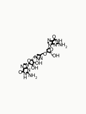 Nc1nc2c(ncn2[C@@H]2O[C@H](Cn3cc(CO[C@H]4C[C@H](n5cnc6c(=O)[nH]c(N)nc65)O[C@@H]4CO)nn3)[C@@H](O)[C@H]2O)c(=O)[nH]1